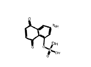 O=C1C=CC(=O)c2c(OP(=O)(O)O)cccc21.[NaH]